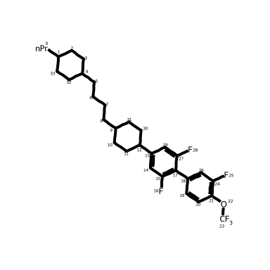 CCCC1CCC(CCCCC2CCC(c3cc(F)c(-c4ccc(OC(F)(F)F)c(F)c4)c(F)c3)CC2)CC1